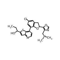 CCC(O)c1cc2nccc(-c3cc(Cl)cc4c3OC(c3ocnc3CN(C)C)C4)c2s1